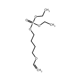 C=COCCCCOP(=O)(OCC)OCC